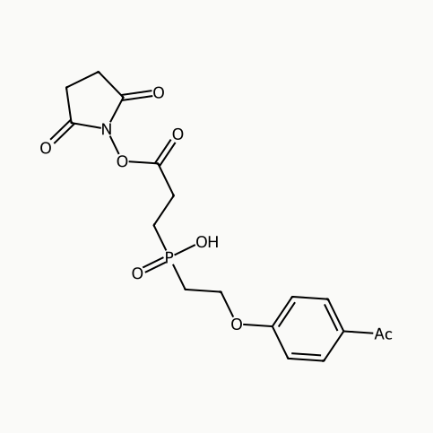 CC(=O)c1ccc(OCCP(=O)(O)CCC(=O)ON2C(=O)CCC2=O)cc1